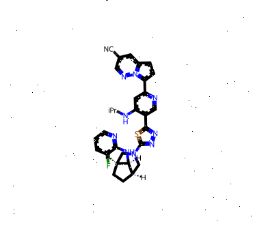 CC(C)Nc1cc(-c2ccc3cc(C#N)cnn23)ncc1-c1nnc(N2C[C@H]3CC[C@@H](C2)[C@H]3Nc2ncccc2F)s1